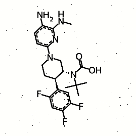 CNc1nc(N2CC[C@H](c3cc(F)c(F)cc3F)[C@@H](N(C(=O)O)C(C)(C)C)C2)ccc1N